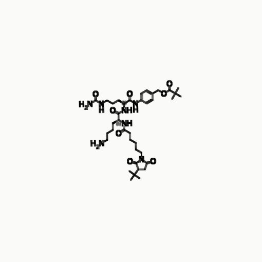 CC(C)(C)C(=O)OCc1ccc(NC(=O)[C@H](CCCNC(N)=O)NC(=O)[C@H](CCCCN)NC(=O)CCCCCN2C(=O)CC(C(C)(C)C)C2=O)cc1